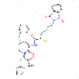 CNC(=O)[C@H](Cc1ccccc1)N1CC[C@H](Cc2ccccc2)CC(NC(=O)[C@@H](S)CCCCN2C(=O)c3ccccc3C2=O)C1=O